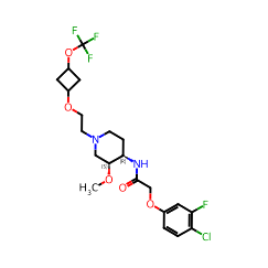 CO[C@H]1CN(CCOC2CC(OC(F)(F)F)C2)CC[C@H]1NC(=O)COc1ccc(Cl)c(F)c1